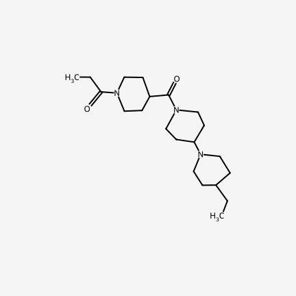 CCC(=O)N1CCC(C(=O)N2CCC(N3CCC(CC)CC3)CC2)CC1